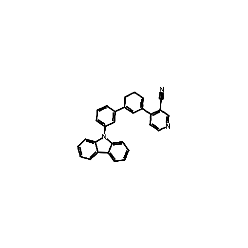 N#Cc1cnccc1C1=CCCC(c2cccc(-n3c4ccccc4c4ccccc43)c2)=C1